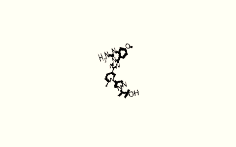 COc1ccc2c(c1)nc(N)n1nc([C@@H]3CC[C@H](C)N(c4cnn(C(C)C(C)(C)O)c4)C3)nc21